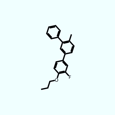 CCCOc1ccc(-c2ccc(C)c(-c3ccccc3)c2)cc1F